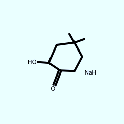 CC1(C)CCC(=O)C(O)C1.[NaH]